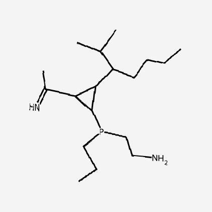 CCCCC(C(C)C)C1C(C(C)=N)C1P(CCC)CCN